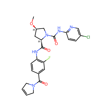 CO[C@@H]1C[C@H](C(=O)Nc2ccc(C(=O)N3CC=CC3)cc2F)N(C(=O)Nc2ccc(Cl)cn2)C1